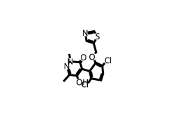 Cc1nn(C)c(=O)c(-c2c(Cl)ccc(Cl)c2OCc2cncs2)c1O